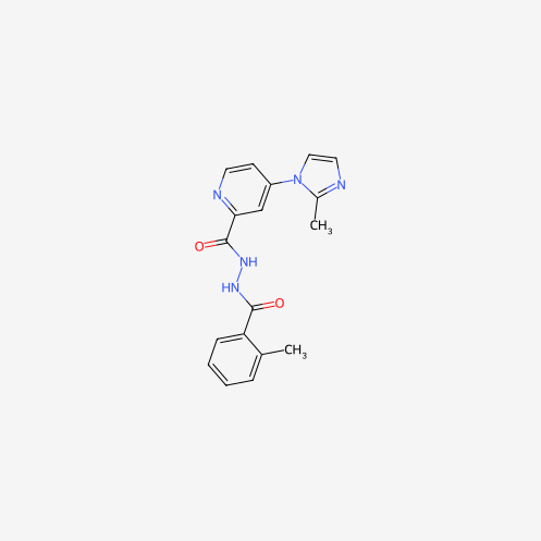 Cc1ccccc1C(=O)NNC(=O)c1cc(-n2ccnc2C)ccn1